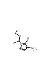 CCCC(C)n1ncc(N)c1C